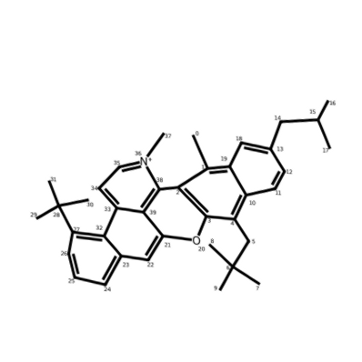 Cc1c2c(c(CC(C)(C)C)c3ccc(CC(C)C)cc13)Oc1cc3cccc(C(C)(C)C)c3c3cc[n+](C)c-2c13